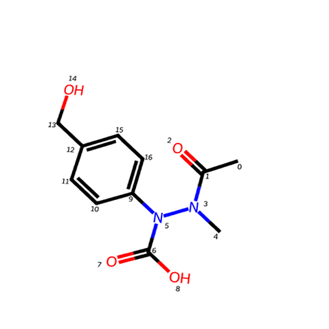 CC(=O)N(C)N(C(=O)O)c1ccc(CO)cc1